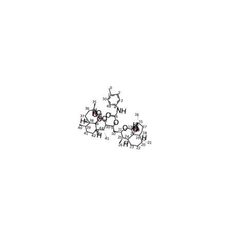 Cc1ccc(NC(=O)O[C@@H](C[C@H]2O[C@@H]3O[C@]4(C)CC[C@H]5[C@H](C)CC[C@@H]([C@H]2C)[C@@]35OO4)C2O[C@@H]3O[C@]4(C)CC[C@H]5[C@H](C)CC[C@@H]([C@H]2C)[C@@]35OO4)cc1